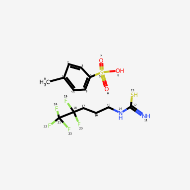 Cc1ccc(S(=O)(=O)O)cc1.N=C(S)NCCCC(F)(F)C(F)(F)F